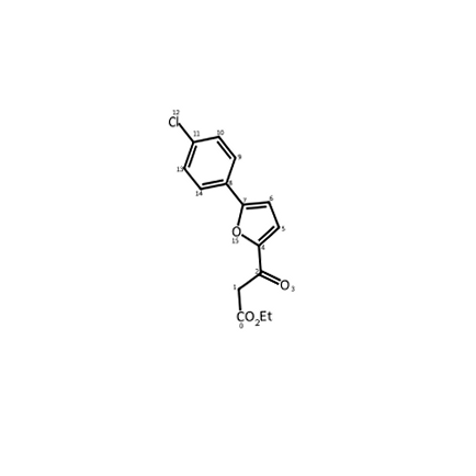 CCOC(=O)CC(=O)c1ccc(-c2ccc(Cl)cc2)o1